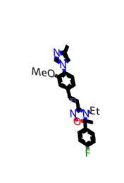 CCN1C(/C=C/c2ccc(-n3cnc(C)c3)c(OC)c2)=NOC1(C)c1ccc(F)cc1